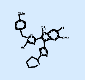 COc1ccc(Cn2nc(-c3c(-c4cnn(C5CCCCO5)c4)c4nc(OC)c(Cl)cc4n3C)nc2C(C)=O)cc1